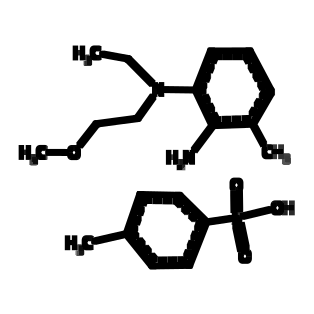 CCN(CCOC)c1cccc(C)c1N.Cc1ccc(S(=O)(=O)O)cc1